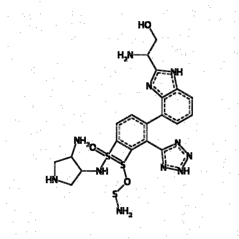 NSOS1=S(=O)(NC2CNCC2N)c2ccc(-c3cccc4[nH]c(C(N)CO)nc34)c(-c3nn[nH]n3)c21